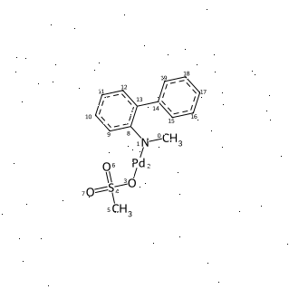 C[N]([Pd][O]S(C)(=O)=O)c1ccccc1-c1ccccc1